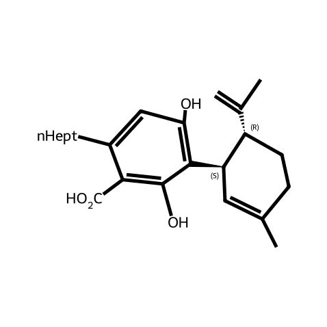 C=C(C)[C@@H]1CCC(C)=C[C@H]1c1c(O)cc(CCCCCCC)c(C(=O)O)c1O